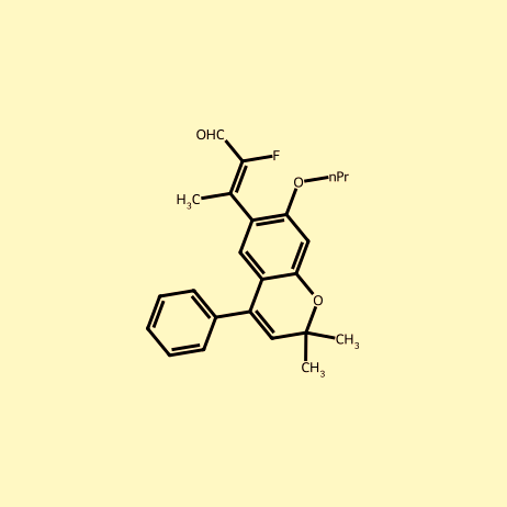 CCCOc1cc2c(cc1C(C)=C(F)C=O)C(c1ccccc1)=CC(C)(C)O2